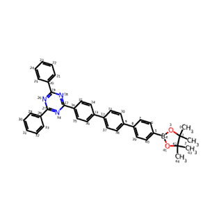 CC1(C)OB(c2ccc(-c3ccc(-c4ccc(-c5nc(-c6ccccc6)nc(-c6ccccc6)n5)cc4)cc3)cc2)OC1(C)C